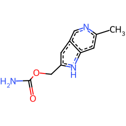 Cc1cc2[nH]c(COC(N)=O)cc2cn1